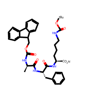 C[C@@H](NC(=O)OCC1c2ccccc2-c2ccccc21)C(=O)N[C@@H](Cc1ccccc1)C(=O)N[C@@H](CCCCNC(=O)OC(C)(C)C)C(=O)O